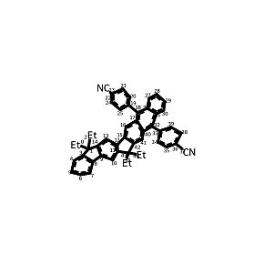 CCC1(CC)c2ccccc2-c2cc3c(cc21)-c1cc2c(-c4ccc(C#N)cc4)c4ccccc4c(-c4ccc(C#N)cc4)c2cc1C3(CC)CC